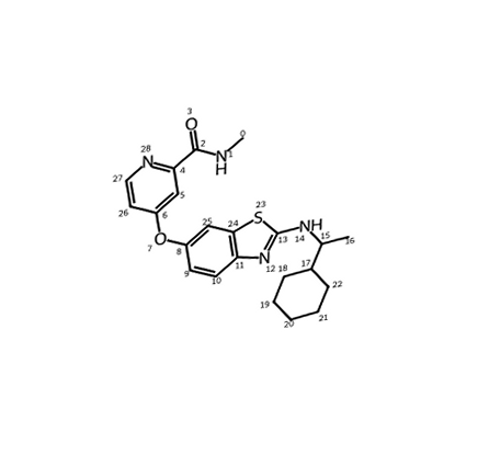 CNC(=O)c1cc(Oc2ccc3nc(NC(C)C4CCCCC4)sc3c2)ccn1